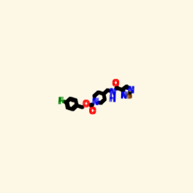 O=C(NCC1CCN(C(=O)OCc2ccc(F)cc2)CC1)c1cnsn1